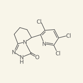 O=c1[nH]nc2n1C(c1nc(Cl)c(Cl)cc1Cl)CCC2